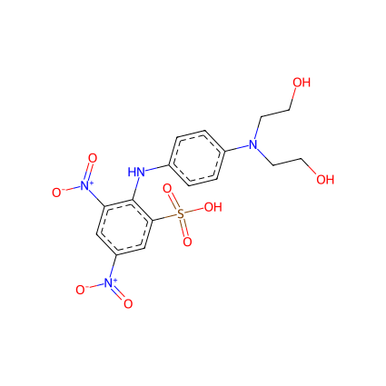 O=[N+]([O-])c1cc([N+](=O)[O-])c(Nc2ccc(N(CCO)CCO)cc2)c(S(=O)(=O)O)c1